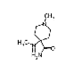 CNC1(C(N)=O)CCN(C)CC1